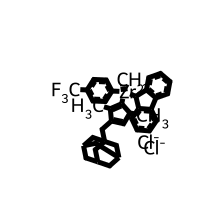 [CH2]=[Zr+2]([C]1=C(C)C(CC23CC4CC(CC(C4)C2)C3)=CC1C)([c]1ccc(C(F)(F)F)cc1)[CH]1c2ccccc2-c2ccccc21.[Cl-].[Cl-]